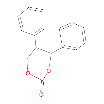 O=C1OCC(c2ccccc2)C(c2ccccc2)O1